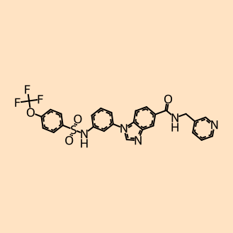 O=C(NCc1cccnc1)c1ccc2c(c1)ncn2-c1cccc(NS(=O)(=O)c2ccc(OC(F)(F)F)cc2)c1